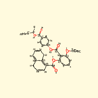 CCCCCCCCCCOc1cccc(OC(=O)C2=C3CC=CC=C3CC=C2)c1C(=O)Oc1ccc(C(=O)OC(C)CCCCCC)cc1